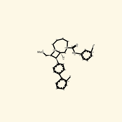 COC[C@@H]1[C@H](c2ccc(-c3ccccc3C)cc2)[C@@H]2CN(C(=O)Nc3cccc(F)c3)CCCCN12